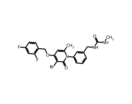 CNC(=O)NCc1cccc(-n2c(C)cc(OCc3ccc(F)cc3F)c(Br)c2=O)c1